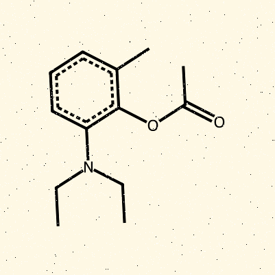 CCN(CC)c1cccc(C)c1OC(C)=O